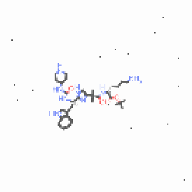 CC(C)(C)OC(=O)[C@@H](CCCCN)NC(=O)C(C)(C)c1c[nH]c([C@@H](Cc2c[nH]c3ccccc23)NC(=O)NC2CCNCC2)n1